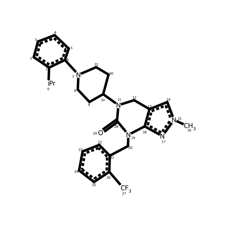 CC(C)c1ccccc1N1CCC(N2Cc3cn(C)nc3N(Cc3ccccc3C(F)(F)F)C2=O)CC1